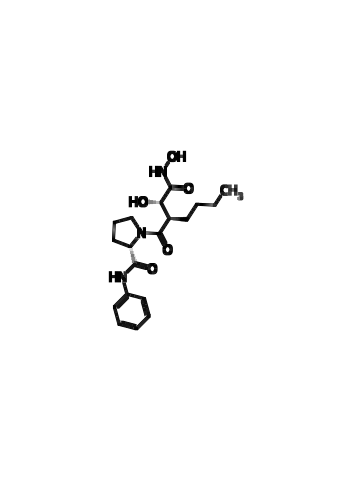 CCCC[C@@H](C(=O)N1CCC[C@H]1C(=O)Nc1ccccc1)[C@H](O)C(=O)NO